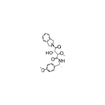 COc1ccc([C@@H](C)NC(=O)[C@H](OC)[C@@H](O)C(=O)N2Cc3ccccc3C2)cc1